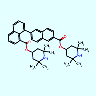 CC1(C)CC(OC(=O)c2ccc3cc(-c4cccc5cccc(C(=O)OC6CC(C)(C)NC(C)(C)C6)c45)ccc3c2)CC(C)(C)N1